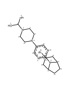 CCCC(O)N1CCN(c2cnc(N3C4CCC3CN(C(C)C)C4)nc2)CC1